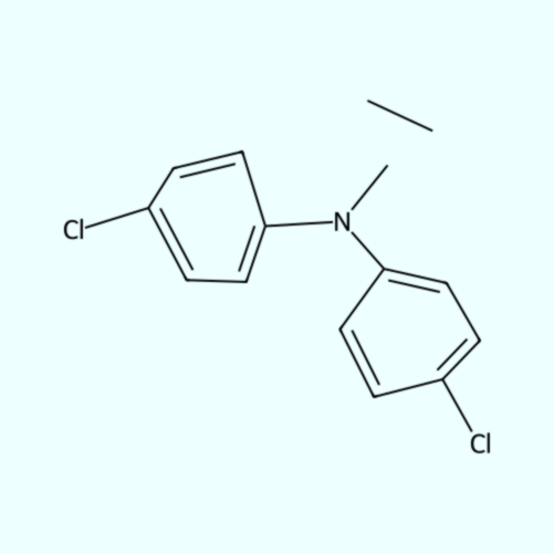 CC.CN(c1ccc(Cl)cc1)c1ccc(Cl)cc1